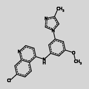 COc1cc(Nc2ccnc3cc(Cl)ccc23)cc(-n2cnc(C)c2)c1